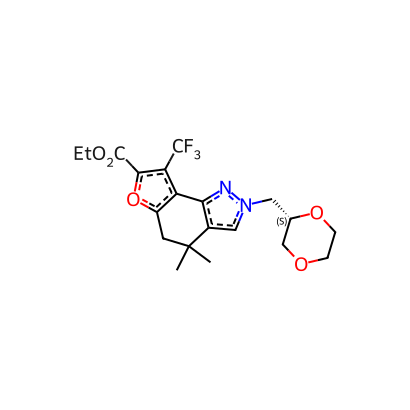 CCOC(=O)c1oc2c(c1C(F)(F)F)-c1nn(C[C@H]3COCCO3)cc1C(C)(C)C2